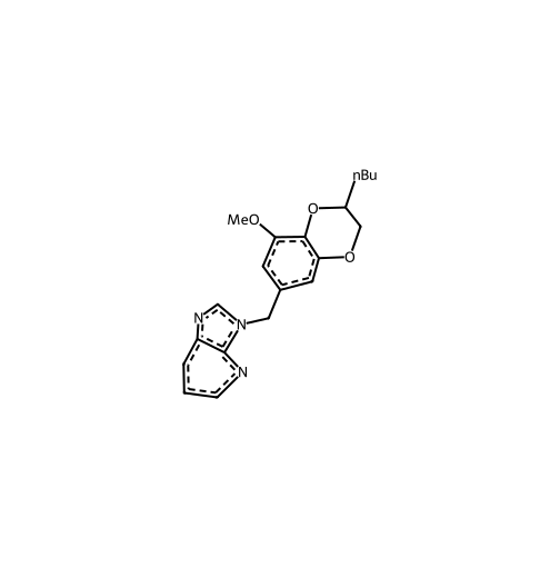 CCCCC1COc2cc(Cn3cnc4cccnc43)cc(OC)c2O1